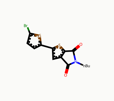 CCCCN1C(=O)c2cc(-c3ccc(Br)s3)sc2C1=O